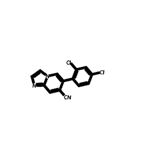 N#Cc1cc2nccn2cc1-c1ccc(Cl)cc1Cl